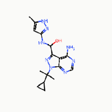 Cc1cc(NC(O)c2nn(C(C)(C)C3CC3)c3ncnc(N)c23)n[nH]1